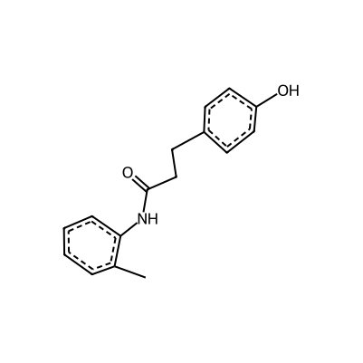 Cc1ccccc1NC(=O)CCc1ccc(O)cc1